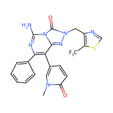 Cn1cc(-c2c(-c3ccccc3)nc(N)n3c(=O)n(Cc4ncsc4C(F)(F)F)nc23)ccc1=O